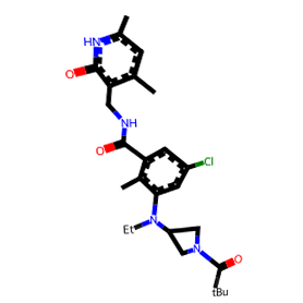 CCN(c1cc(Cl)cc(C(=O)NCc2c(C)cc(C)[nH]c2=O)c1C)C1CN(C(=O)C(C)(C)C)C1